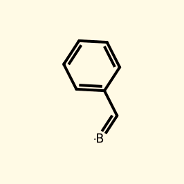 [B]=Cc1ccccc1